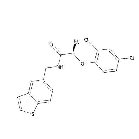 CC[C@@H](Oc1ccc(Cl)cc1Cl)C(=O)NCc1ccc2sccc2c1